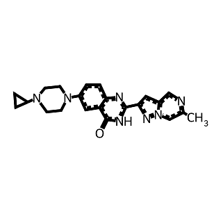 Cc1cn2nc(-c3nc4ccc(N5CCN(C6CC6)CC5)cc4c(=O)[nH]3)cc2cn1